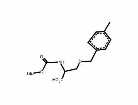 Cc1ccc(COCC(NC(=O)OC(C)(C)C)C(=O)O)cc1